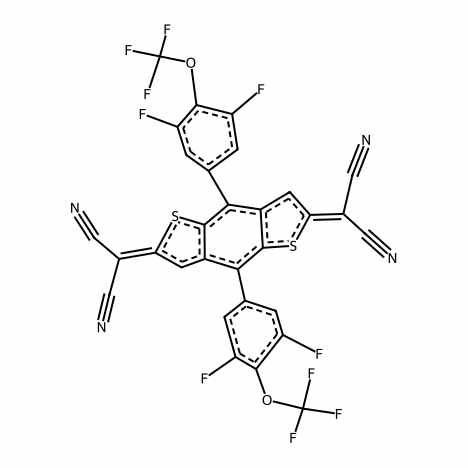 N#CC(C#N)=c1cc2c(-c3cc(F)c(OC(F)(F)F)c(F)c3)c3sc(=C(C#N)C#N)cc3c(-c3cc(F)c(OC(F)(F)F)c(F)c3)c2s1